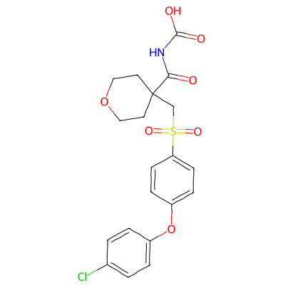 O=C(O)NC(=O)C1(CS(=O)(=O)c2ccc(Oc3ccc(Cl)cc3)cc2)CCOCC1